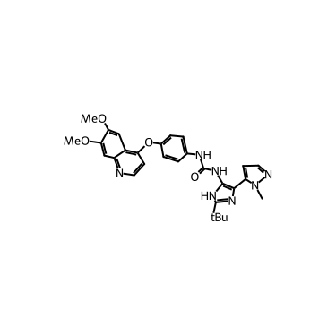 COc1cc2nccc(Oc3ccc(NC(=O)Nc4[nH]c(C(C)(C)C)nc4-c4ccnn4C)cc3)c2cc1OC